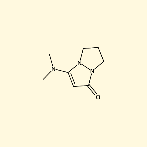 CN(C)c1cc(=O)n2n1CCC2